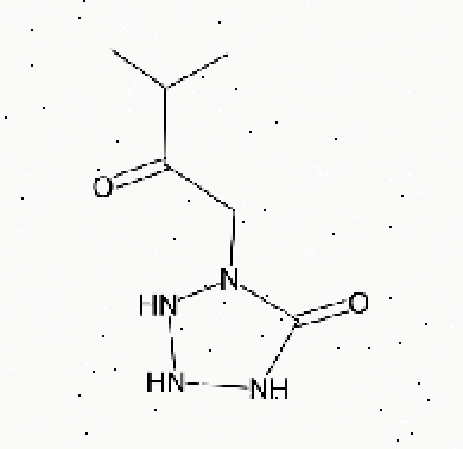 CC(C)C(=O)CN1NNNC1=O